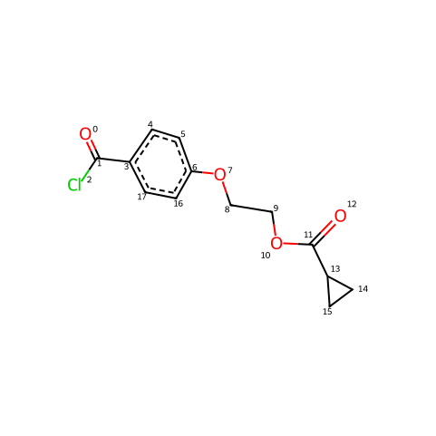 O=C(Cl)c1ccc(OCCOC(=O)C2CC2)cc1